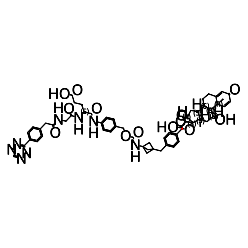 C[C@]12C=CC(=O)C=C1CC[C@@H]1[C@@H]2[C@@H](O)C[C@@]2(C)[C@H]1C[C@H]1OC(c3ccc(CC45CC(NC(=O)OCc6ccc(NC(=O)[C@H](CCC(=O)O)NC(=O)CNC(=O)Cc7ccc(-c8nncnn8)cc7)cc6)(C4)C5)cc3)O[C@]12C(=O)CO